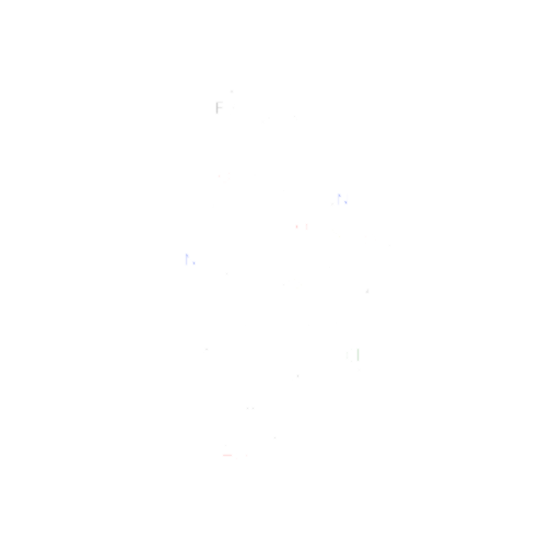 CN1CC[C@@H](Oc2cc(NS(=O)(=O)c3cc(Cl)c(-c4cccc(CO)c4)s3)ccc2C(F)(F)F)C1